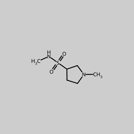 CNS(=O)(=O)C1CCN(C)C1